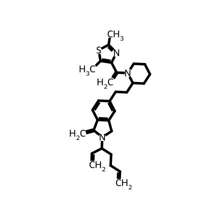 C=CCCC(C=C)N1Cc2cc(CCC3CCCCN3C(=C)c3nc(C)sc3C)ccc2C1=C